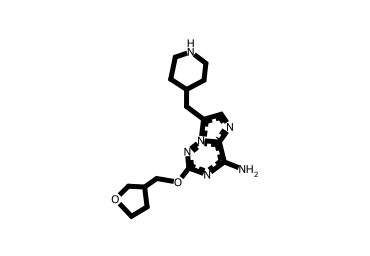 Nc1nc(OCC2CCOC2)nn2c(CC3CCNCC3)cnc12